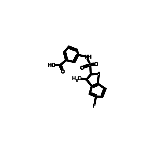 CC1c2cc(F)ccc2SC1S(=O)(=O)Nc1cccc(C(=O)O)c1